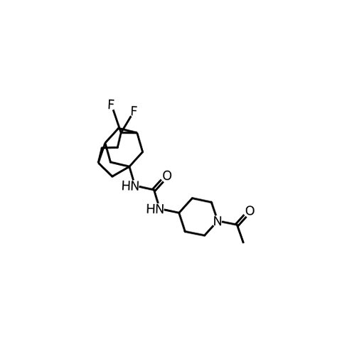 CC(=O)N1CCC(NC(=O)NC23CC4CCC(F)(F)C(CC4C2)C3)CC1